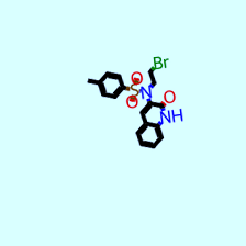 Cc1ccc(S(=O)(=O)N(CCBr)c2cc3ccccc3[nH]c2=O)cc1